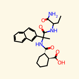 CCC(NC(=O)C(C)(NC(=O)[C@H]1CCCC[C@@H]1C(=O)O)c1ccc2ccccc2c1)C(N)=O